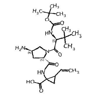 C=CC1CC1(NC(=O)[C@@H]1C[C@@H](N)CN1C(=O)[C@@H](NC(=O)OC(C)(C)C)C(C)(C)C)C(=O)O